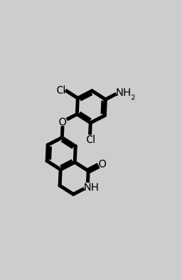 Nc1cc(Cl)c(Oc2ccc3c(c2)C(=O)NCC3)c(Cl)c1